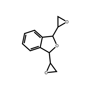 c1ccc2c(c1)C(C1CO1)OC2C1CO1